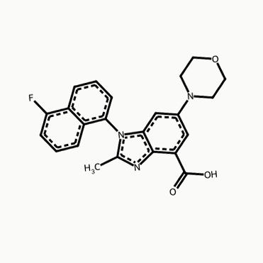 Cc1nc2c(C(=O)O)cc(N3CCOCC3)cc2n1-c1cccc2c(F)cccc12